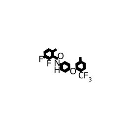 Cc1ccc(C(F)(F)F)c(Oc2ccc(NC(=O)c3c(C)ccc(F)c3F)cc2)c1